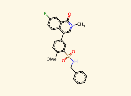 COc1ccc(-c2cn(C)c(=O)c3cc(F)ccc23)cc1S(=O)(=O)NCc1ccccc1